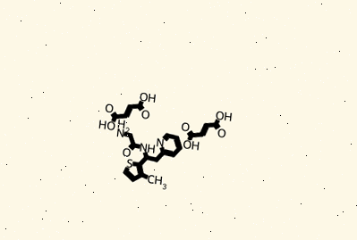 Cc1ccsc1C(Cc1ccccn1)NC(=O)CN.O=C(O)C=CC(=O)O.O=C(O)C=CC(=O)O